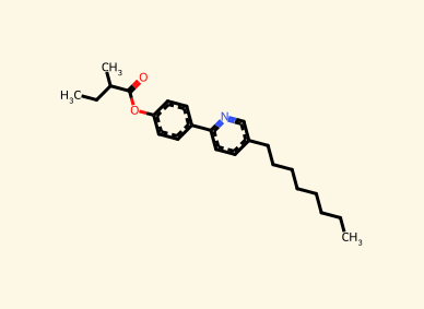 CCCCCCCCc1ccc(-c2ccc(OC(=O)C(C)CC)cc2)nc1